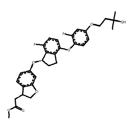 COC(=O)CC1COc2cc(O[C@@H]3CCc4c(Oc5ccc(OCCC(C)(C)O)cc5F)ccc(F)c43)ccc21